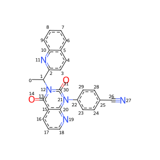 CC(c1ccc2ccccc2n1)n1c(=O)c2cccnc2n(-c2ccc(C#N)cc2)c1=O